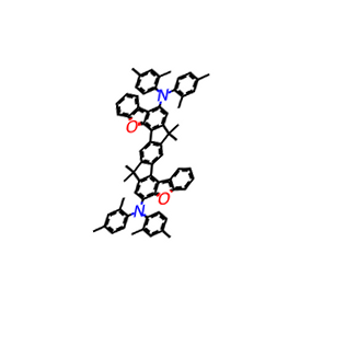 Cc1ccc(N(c2ccc(C)cc2C)c2cc3c(c4c2oc2ccccc24)-c2cc4c(cc2C3(C)C)-c2c(cc(N(c3ccc(C)cc3C)c3ccc(C)cc3C)c3c2oc2ccccc23)C4(C)C)c(C)c1